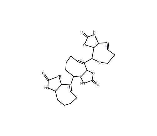 O=C1NC2CCCC/C=C(\C3CCC/C=C(\C4CCC/C=C/C5NC(=O)OC54)C4OC(=O)NC34)C2N1